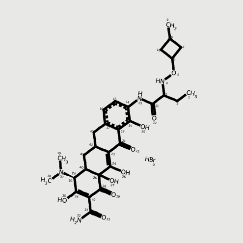 Br.CCC(NOC1CC(C)C1)C(=O)Nc1ccc2c(c1O)C(=O)C1=C(O)C3(O)C(=O)C(C(N)=O)=C(O)[C@@H](N(C)C)C3CC1C2